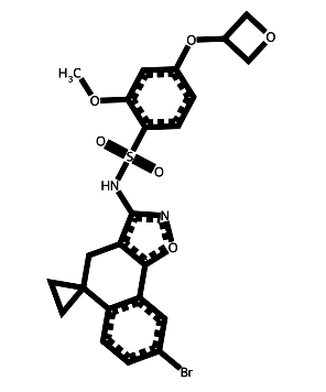 COc1cc(OC2COC2)ccc1S(=O)(=O)Nc1noc2c1CC1(CC1)c1ccc(Br)cc1-2